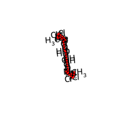 CN1Cc2c(Cl)cc(Cl)cc2C(c2ccc3cnn(CCOCCOCCNC(=O)NCCCCNC(=O)NCCOCCOCCn4ncc5ccc(C6CN(C)Cc7c(Cl)cc(Cl)cc76)cc54)c3c2)C1